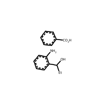 CCC(O)c1ccccc1N.O=C(O)c1ccccc1